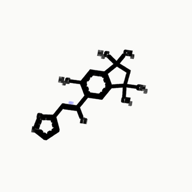 CC/C(=C\c1ccno1)c1cc2c(cc1C)C(C)(C)CC2(C)C